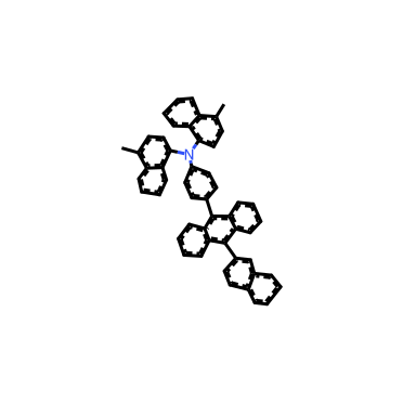 Cc1ccc(N(c2ccc(-c3c4ccccc4c(-c4ccc5ccccc5c4)c4ccccc34)cc2)c2ccc(C)c3ccccc23)c2ccccc12